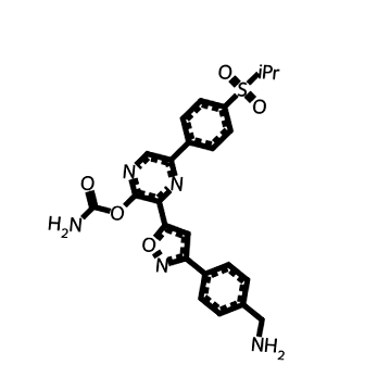 CC(C)S(=O)(=O)c1ccc(-c2cnc(OC(N)=O)c(-c3cc(-c4ccc(CN)cc4)no3)n2)cc1